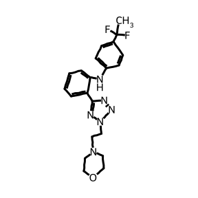 CC(F)(F)c1ccc(Nc2ccccc2-c2nnn(CCN3CCOCC3)n2)cc1